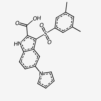 Cc1cc(C)cc(S(=O)(=O)c2c(C(=O)O)[nH]c3ccc(-n4cccc4)cc23)c1